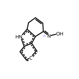 O/N=C1\C=CCc2[nH]c3ccccc3c21